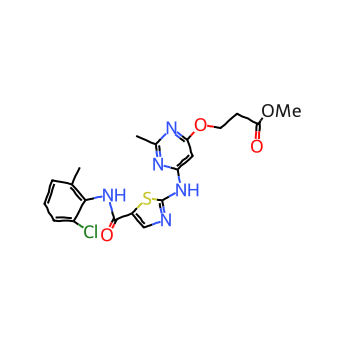 COC(=O)CCOc1cc(Nc2ncc(C(=O)Nc3c(C)cccc3Cl)s2)nc(C)n1